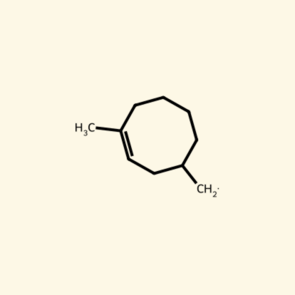 [CH2]C1C/C=C(/C)CCCC1